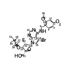 COc1ccc(CNc2ncnc3c2c(Br)cn3[C@@H]2O[C@H](CO)C(O[Si](C)(C)C(C)(C)C)[C@@H]2F)c(OC)c1